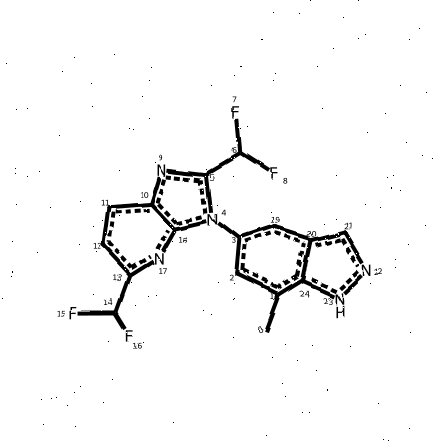 Cc1cc(-n2c(C(F)F)nc3ccc(C(F)F)nc32)cc2cn[nH]c12